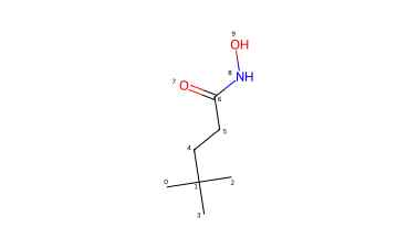 CC(C)(C)CCC(=O)NO